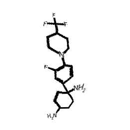 NC1CCC(N)(c2ccc(N3CCC(C(F)(F)F)CC3)c(F)c2)CC1